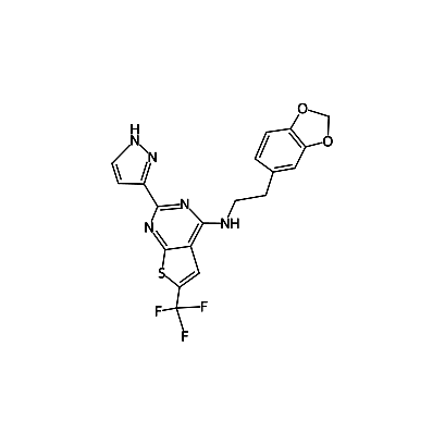 FC(F)(F)c1cc2c(NCCc3ccc4c(c3)OCO4)nc(-c3cc[nH]n3)nc2s1